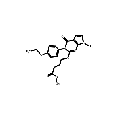 Cn1ccc2c(=O)n(-c3ccc(OCC(F)(F)F)cc3)c(SCCCC(=O)OC(C)(C)C)nc21